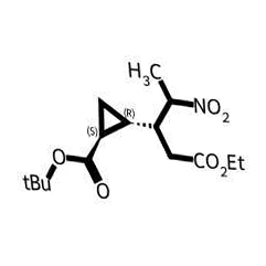 CCOC(=O)CC(C(C)[N+](=O)[O-])[C@H]1C[C@@H]1C(=O)OC(C)(C)C